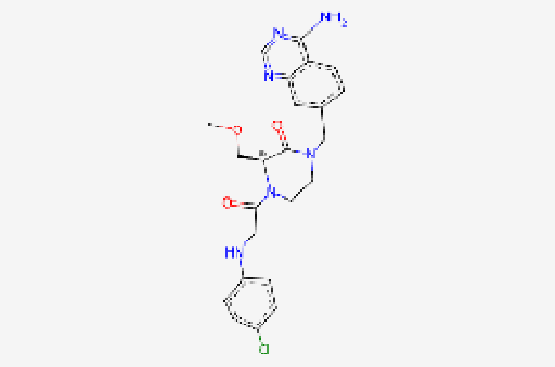 COC[C@H]1C(=O)N(Cc2ccc3c(N)ncnc3c2)CCN1C(=O)CNc1ccc(Cl)cc1